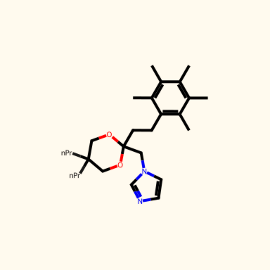 CCCC1(CCC)COC(CCc2c(C)c(C)c(C)c(C)c2C)(Cn2ccnc2)OC1